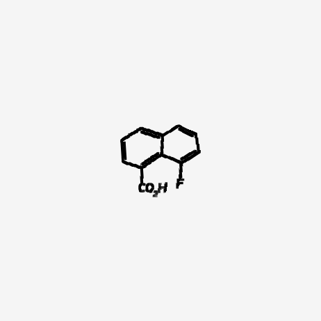 O=C(O)c1cccc2cccc(F)c12